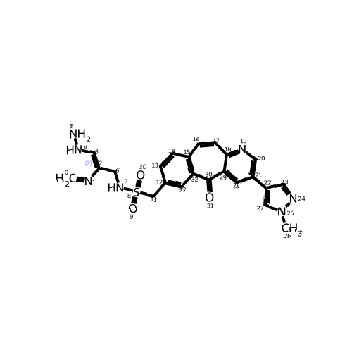 C=N/C(=C\NN)CNS(=O)(=O)Cc1ccc2ccc3ncc(-c4cnn(C)c4)cc3c(=O)c2c1